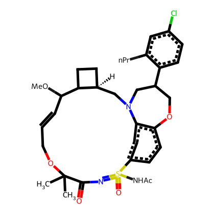 CCCc1cc(Cl)ccc1C1COc2ccc3cc2N(C1)C[C@@H]1CCC1C(OC)/C=C/COC(C)(C)C(=O)N=S3(=O)NC(C)=O